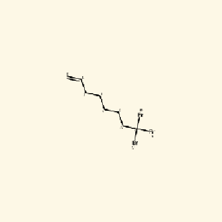 C=CCCCCCC(Br)(Br)Br